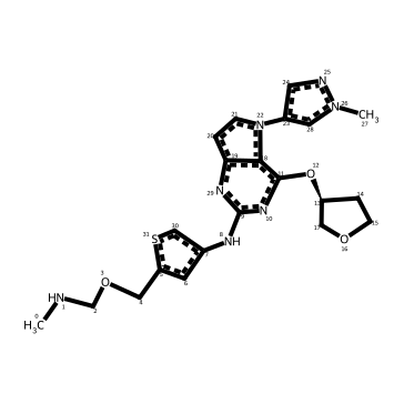 CNCOCc1cc(Nc2nc(O[C@H]3CCOC3)c3c(ccn3-c3cnn(C)c3)n2)cs1